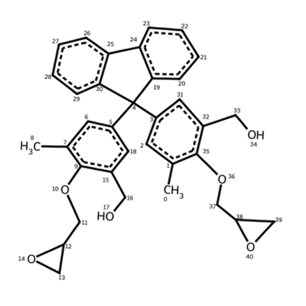 Cc1cc(C2(c3cc(C)c(OCC4CO4)c(CO)c3)c3ccccc3-c3ccccc32)cc(CO)c1OCC1CO1